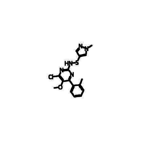 COc1c(Cl)nc(NSc2cnn(C)c2)nc1-c1ccccc1C